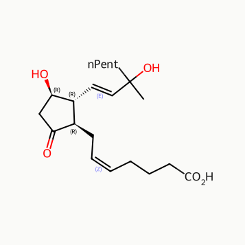 CCCCCC(C)(O)/C=C/[C@H]1[C@H](O)CC(=O)[C@@H]1C/C=C\CCCC(=O)O